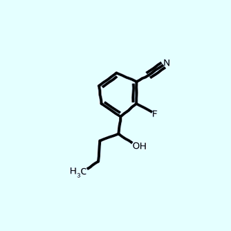 CCCC(O)c1cccc(C#N)c1F